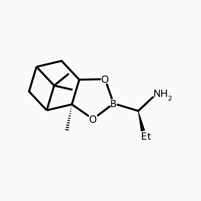 CC[C@H](N)B1OC2CC3CC(C3(C)C)[C@]2(C)O1